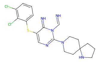 N=Cn1c(N2CCC3(CCCN3)CC2)ncc(Sc2cccc(Cl)c2Cl)c1=N